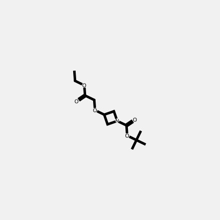 CCOC(=O)COC1CN(C(=O)OC(C)(C)C)C1